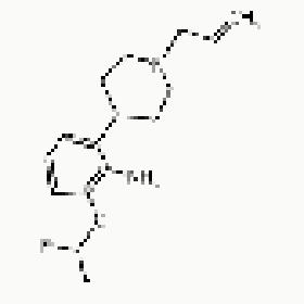 C=CCN1CCC(c2cccc(OC(F)F)c2N)CC1